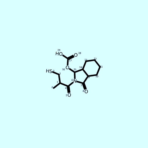 CC(CS)C(=O)N1C(=O)C2CCCCC2C1OC(=O)O